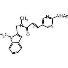 CC(=O)Nc1ncc(/C=C/C(=O)N(C)Cc2cc3ccccc3n2C)cn1